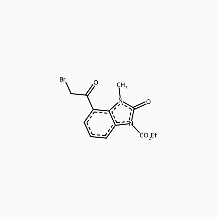 CCOC(=O)n1c(=O)n(C)c2c(C(=O)CBr)cccc21